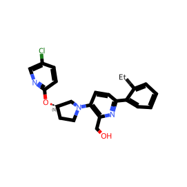 CCc1ccccc1-c1ccc(N2CC[C@H](Oc3ccc(Cl)cn3)C2)c(CO)n1